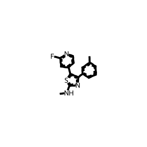 CNc1nc(-c2cccc(C)c2)c(-c2ccnc(F)c2)s1